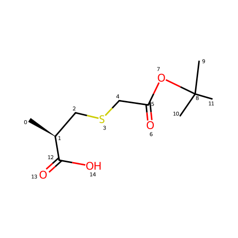 C[C@@H](CSCC(=O)OC(C)(C)C)C(=O)O